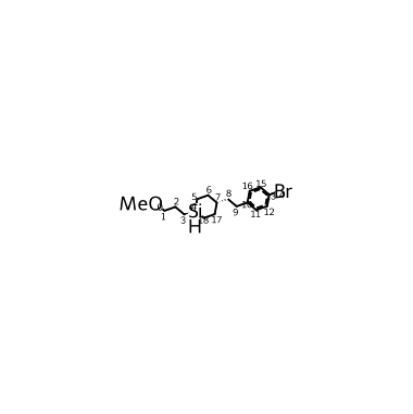 COCCC[Si@H]1CC[C@H](CCc2ccc(Br)cc2)CC1